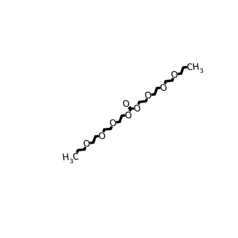 CCCOCCOCCOCCOC(=O)OCCOCCOCCOCCC